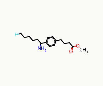 COC(=O)CCCc1ccc(C(N)CCCCCF)cc1